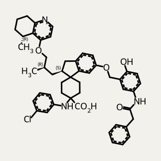 C[C@@H](COc1ccnc2c1[C@H](C)CCC2)C[C@H]1Cc2ccc(OCc3cc(NC(=O)Cc4ccccc4)ccc3O)cc2C12CCC(Nc1cccc(Cl)c1)(C(=O)O)CC2